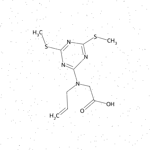 C=CCN(CC(=O)O)c1nc(SC)nc(SC)n1